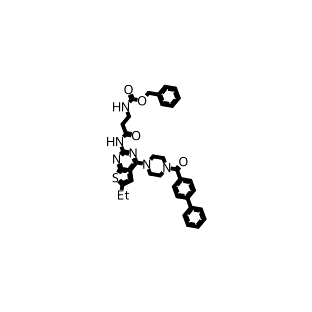 CCc1cc2c(N3CCN(C(=O)c4ccc(-c5ccccc5)cc4)CC3)nc(NC(=O)CCNC(=O)OCc3ccccc3)nc2s1